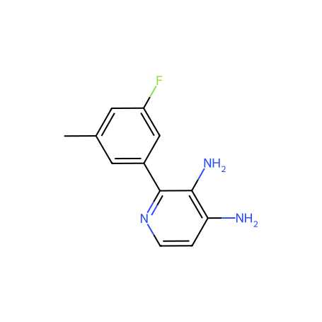 Cc1cc(F)cc(-c2nccc(N)c2N)c1